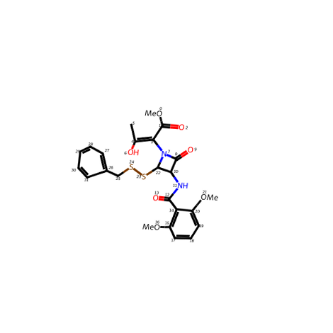 COC(=O)C(=C(C)O)N1C(=O)C(NC(=O)c2c(OC)cccc2OC)C1SSCc1ccccc1